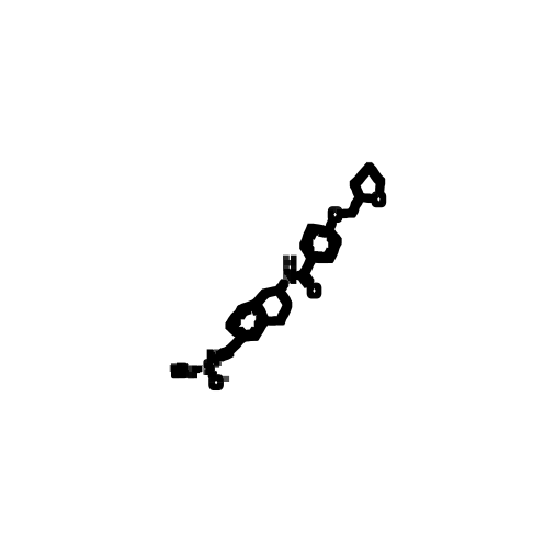 CC(C)(C)[S@@+]([O-])N=Cc1ccc2c(c1)CCC(NC(=O)c1ccc(OCC3CCCO3)cc1)C2